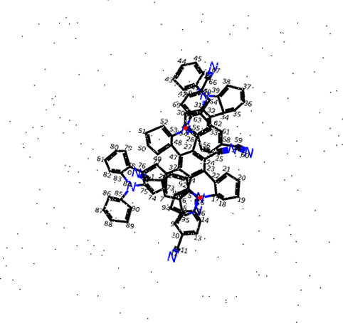 N#Cc1ccc2c(c1)c1cc(C#N)ccc1n2-c1ccccc1-c1c(C#N)c(-c2ccc3c(c2)c2ccccc2n3-c2ccccc2)c(-c2ccccc2-n2c3ccc(C#N)cc3c3cc(C#N)ccc32)c(-c2ccc3c(c2)c2ccccc2n3-c2ccccc2)c1-c1cccnc1